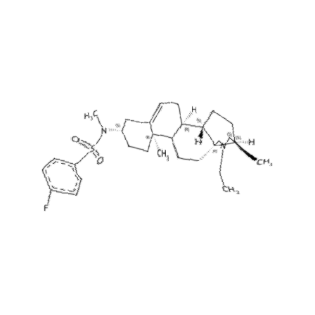 C[C@H]1[C@H]2CC[C@H]3[C@@H]4CC=C5C[C@@H](N(C)S(=O)(=O)c6ccc(F)cc6)CC[C@]5(C)C4CC[C@]23CN1C